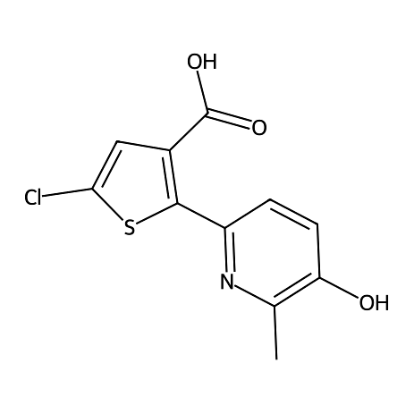 Cc1nc(-c2sc(Cl)cc2C(=O)O)ccc1O